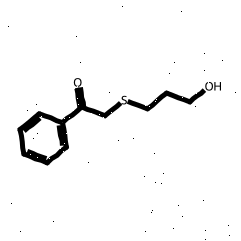 O=C(CSCCCO)c1ccccc1